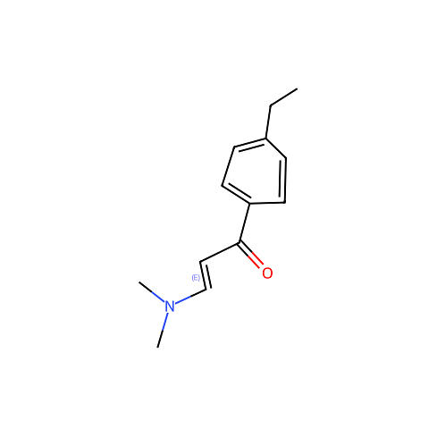 CCc1ccc(C(=O)/C=C/N(C)C)cc1